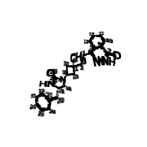 C[C@]1(CCc2n[nH]c(=O)c3ccccc23)C[C@H](N2C[C@H](Cc3ccccc3)NC2=O)C1